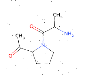 CC(=O)C1CCCN1C(=O)C(C)N